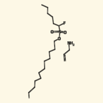 C=CCN.CCCCCCCCCCCCOS(=O)(=O)C(F)CCCCC